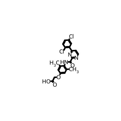 Cc1cc(OCC(=O)O)cc(C)c1NC(=O)c1nccc(-c2cc(Cl)ccc2Cl)n1